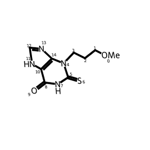 COCCCn1c(=S)[nH]c(=O)c2[nH]cnc21